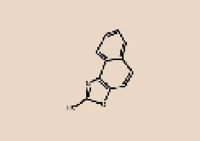 Sc1nc2c(ccc3ccccc32)o1